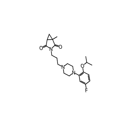 CC(C)Oc1ccc(F)cc1N1CCN(CCCN2C(=O)C3CC3(C)C2=O)CC1